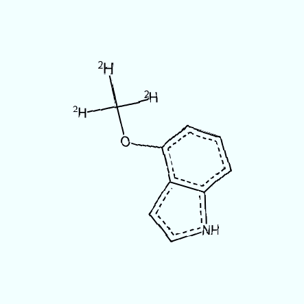 [2H]C([2H])([2H])Oc1cccc2[nH]ccc12